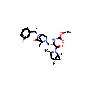 C[C@@H](c1cccc(F)c1)N1C(=O)[C@@H]2CC1CN2C[C@H](NC(=O)OC(C)(C)C)C(=O)N1[C@H](C#N)C[C@@H]2C[C@@H]21